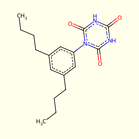 CCCCc1cc(CCCC)cc(-n2c(=O)[nH]c(=O)[nH]c2=O)c1